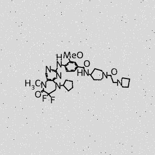 COc1cc(C(=O)NC2CCN(C(=O)CN3CCCC3)CC2)ccc1Nc1ncc2c(n1)N(C1CCCC1)CC(F)(F)C(=O)N2C